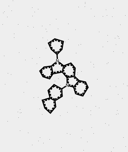 c1ccc(-n2c3ccccc3c3c2ccc2c4ccccc4n(-c4ccc5ccccc5c4)c23)cc1